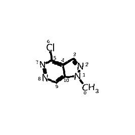 Cn1ncc2c(Cl)nncc21